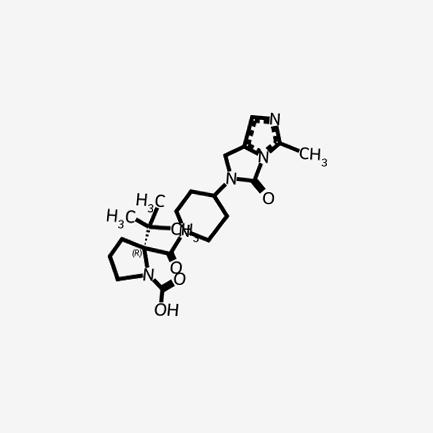 Cc1ncc2n1C(=O)N(C1CCN(C(=O)[C@]3(C(C)(C)C)CCCN3C(=O)O)CC1)C2